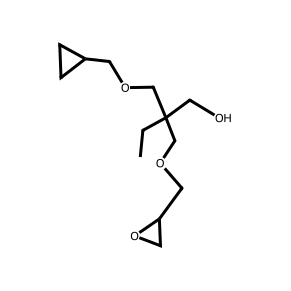 CCC(CO)(COCC1CC1)COCC1CO1